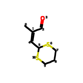 CC(C=O)=CC1SCCCS1